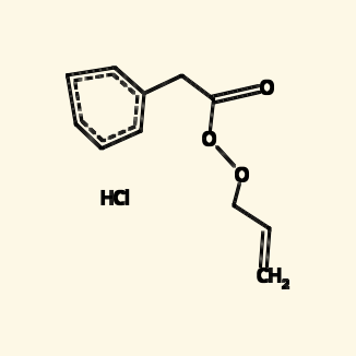 C=CCOOC(=O)Cc1ccccc1.Cl